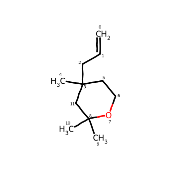 C=CCC1(C)CCOC(C)(C)C1